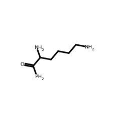 NCCCCC(N)C(=O)P